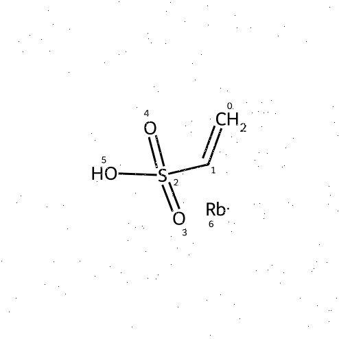 C=CS(=O)(=O)O.[Rb]